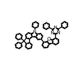 c1ccc(-c2nc(-c3ccccc3)nc(-c3cccc4c3oc3c(-c5ccc6c(c5)c5c7c(ccc5n6-c5ccccc5)C(c5ccccc5)(c5ccccc5)c5ccccc5-7)cccc34)n2)cc1